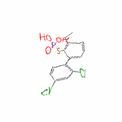 CCc1cccc(-c2ccc(Cl)cc2Cl)c1SP(=O)(O)O